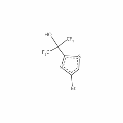 [CH2]Cc1csc(C(O)(C(F)(F)F)C(F)(F)F)n1